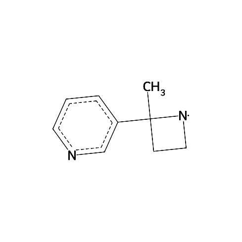 CC1(c2cccnc2)CC[N]1